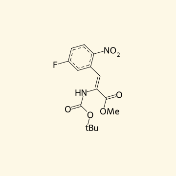 COC(=O)C(=Cc1cc(F)ccc1[N+](=O)[O-])NC(=O)OC(C)(C)C